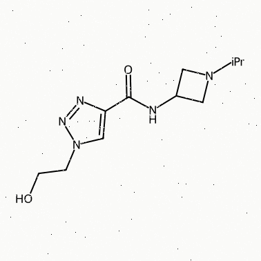 CC(C)N1CC(NC(=O)c2cn(CCO)nn2)C1